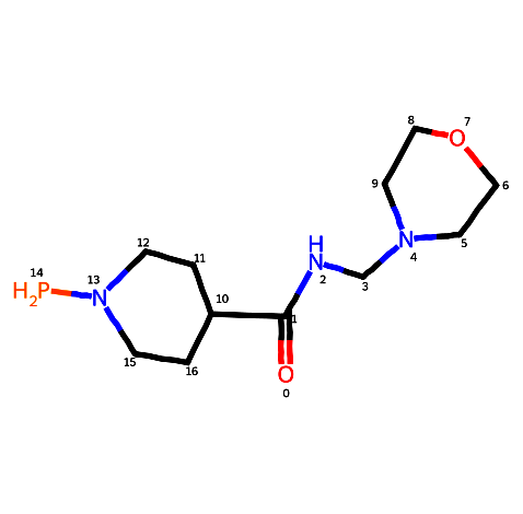 O=C(NCN1CCOCC1)C1CCN(P)CC1